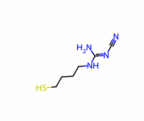 N#C/N=C(\N)NCCCCS